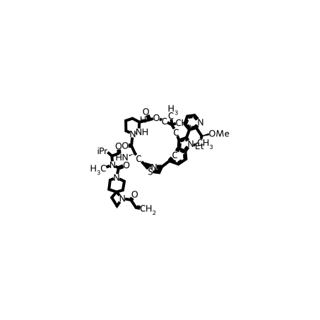 C=CC(=O)N1CCC12CCN(C(=O)N(C)C(C(=O)N[C@H]1Cc3nc(cs3)-c3ccc4c(c3)c(c(-c3cccnc3[C@H](C)OC)n4CC)CC(C)(C)COC(=O)[C@@H]3CCCN(N3)C1=O)C(C)C)CC2